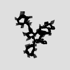 O=[N+]([O-])c1cc2c(cc1C1N(Cc3ccccc3)CCN1Cc1ccccc1)OCO2